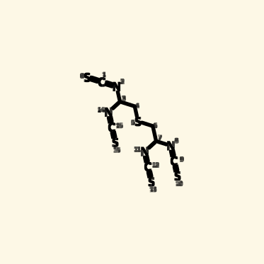 S=C=NC(CSCC(N=C=S)N=C=S)N=C=S